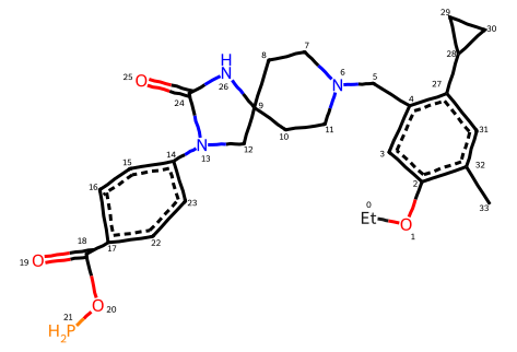 CCOc1cc(CN2CCC3(CC2)CN(c2ccc(C(=O)OP)cc2)C(=O)N3)c(C2CC2)cc1C